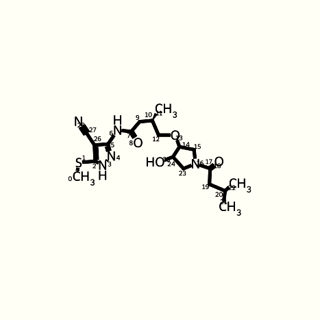 CSc1[nH]nc(NC(=O)C[C@@H](C)COC2CN(C(=O)CC(C)C)CC2O)c1C#N